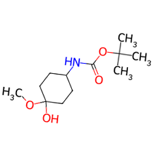 COC1(O)CCC(NC(=O)OC(C)(C)C)CC1